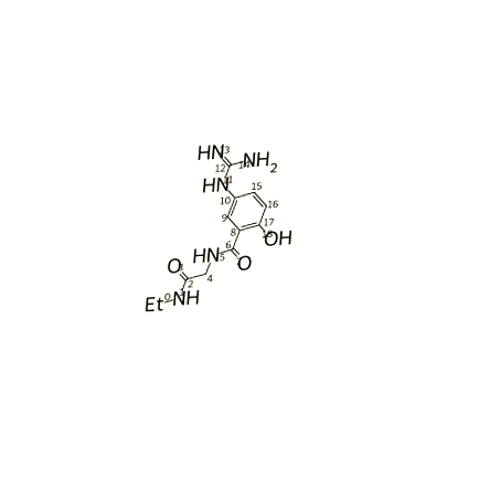 [CH2]CNC(=O)CNC(=O)c1cc(NC(=N)N)ccc1O